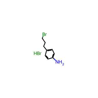 Br.Nc1ccc(CCCBr)cc1